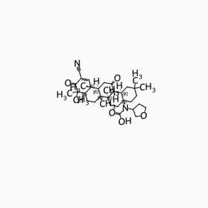 CC1(C)CC[C@]2(N(C(=O)O)C3CCOC3)CC[C@]3(C)[C@H](C(=O)C[C@@H]4[C@@]5(C)C=C(C#N)C(=O)C(C)(C)[C@@H]5CC[C@]43C)[C@H]2C1